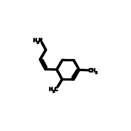 CC1=CC(C)C(/C=C\CN)CC1